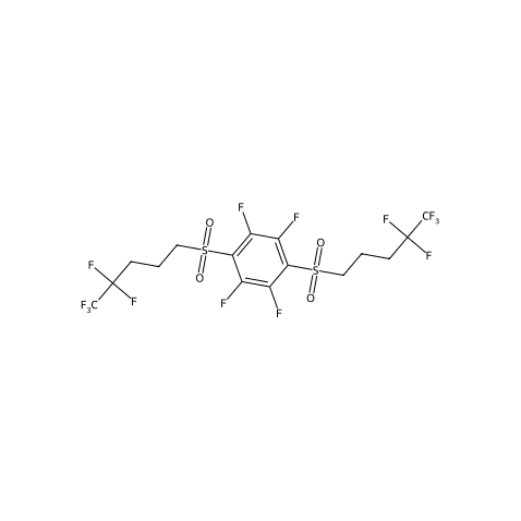 O=S(=O)(CCCC(F)(F)C(F)(F)F)c1c(F)c(F)c(S(=O)(=O)CCCC(F)(F)C(F)(F)F)c(F)c1F